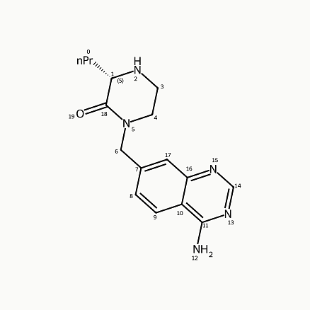 CCC[C@@H]1NCCN(Cc2ccc3c(N)ncnc3c2)C1=O